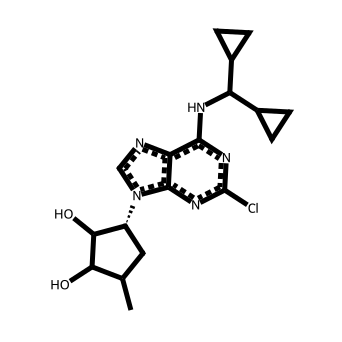 CC1C[C@@H](n2cnc3c(NC(C4CC4)C4CC4)nc(Cl)nc32)C(O)C1O